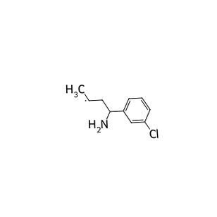 C[CH]CC(N)c1cccc(Cl)c1